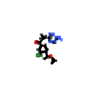 CC(OC1CC1)c1ccc(C(=O)[C@H]2C[C@@H]2C(=N)/N=N\N)cc1Cl